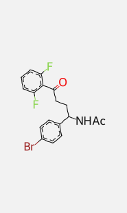 CC(=O)NC(CCC(=O)c1c(F)cccc1F)c1ccc(Br)cc1